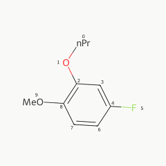 CCCOc1cc(F)ccc1OC